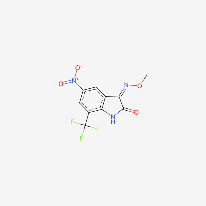 CO/N=C1\C(=O)Nc2c1cc([N+](=O)[O-])cc2C(F)(F)F